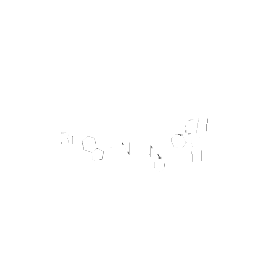 Cc1cc2c(cc1C)CC(=O)N(CC1CCCN(CCc3csc4cc(Br)ccc34)C1)CC2